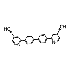 C#Cc1ccnc(-c2ccc(-c3ccc(-c4cc(C#C)ccn4)cc3)cc2)c1